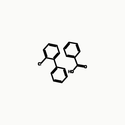 Clc1ccccc1-c1ccccc1.O=C(O)c1ccccc1